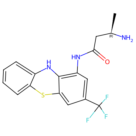 C[C@@H](N)CC(=O)Nc1cc(C(F)(F)F)cc2c1Nc1ccccc1S2